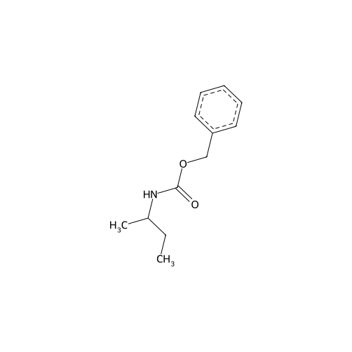 CCC(C)NC(=O)OCc1ccccc1